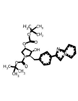 CC(C)(C)OC(=O)O[C@H]1CN(C(=O)OC(C)(C)C)[C@H](Cc2ccc(-c3cn4ccccc4n3)cc2)[C@@H]1O